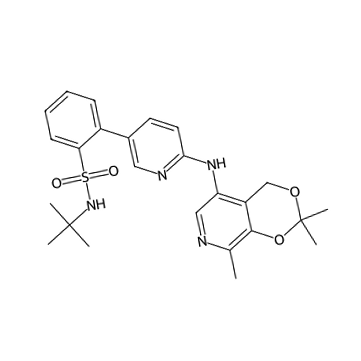 Cc1ncc(Nc2ccc(-c3ccccc3S(=O)(=O)NC(C)(C)C)cn2)c2c1OC(C)(C)OC2